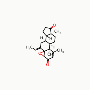 CC=C1C[C@@H]2[C@@H](CC[C@]3(C)C(=O)CC[C@@H]23)[C@@]2(C)C(C)=CC(=O)C3OC132